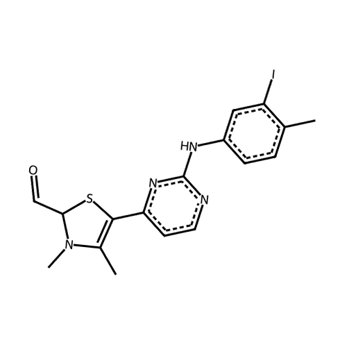 CC1=C(c2ccnc(Nc3ccc(C)c(I)c3)n2)SC(C=O)N1C